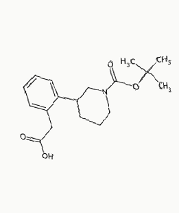 CC(C)(C)OC(=O)N1CCCC(c2ccccc2CC(=O)O)C1